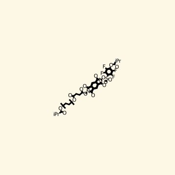 CC(C)C(=O)Oc1c(F)c(F)c(S(=O)(=O)On2c(=O)c3cc4c(=O)n(OC(=O)CCC(=O)OC(C)(C)CCC(C)(C)OC(=O)C(C)C)c(=O)c4cc3c2=O)c(F)c1F